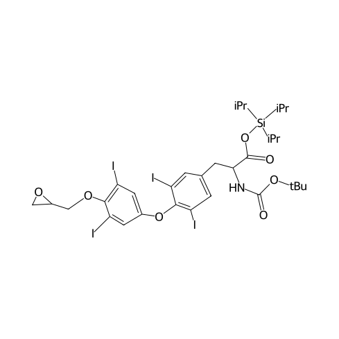 CC(C)[Si](OC(=O)C(Cc1cc(I)c(Oc2cc(I)c(OCC3CO3)c(I)c2)c(I)c1)NC(=O)OC(C)(C)C)(C(C)C)C(C)C